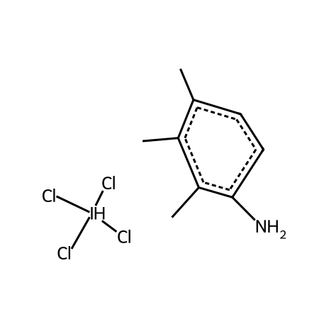 Cc1ccc(N)c(C)c1C.Cl[IH](Cl)(Cl)Cl